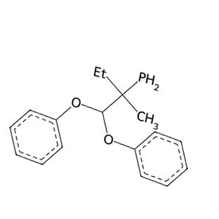 CCC(C)(P)C(Oc1ccccc1)Oc1ccccc1